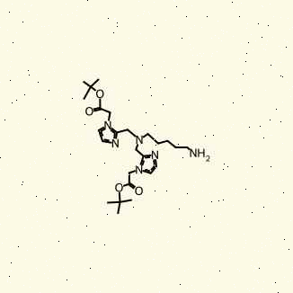 CC(C)(C)OC(=O)Cn1ccnc1CN(CCCCCN)Cc1nccn1CC(=O)OC(C)(C)C